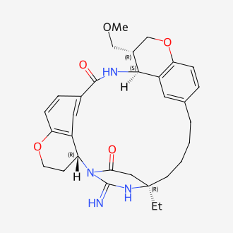 CC[C@]12CCCCc3ccc4c(c3)[C@@H](NC(=O)c3ccc5c(c3)[C@@H](CCO5)N(C(=N)N1)C(=O)C2)[C@H](COC)CO4